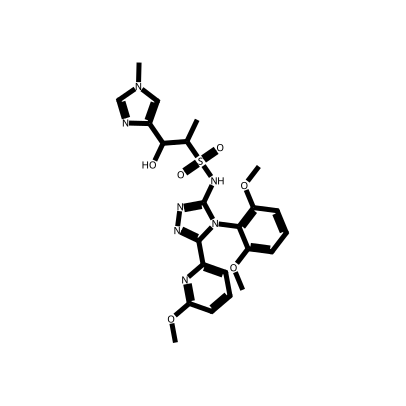 COc1cccc(-c2nnc(NS(=O)(=O)C(C)C(O)c3cn(C)cn3)n2-c2c(OC)cccc2OC)n1